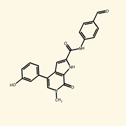 Cn1cc(-c2cccc(O)c2)c2cc(C(=O)Nc3ccc(C=O)cc3)[nH]c2c1=O